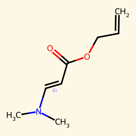 C=CCOC(=O)/C=C/N(C)C